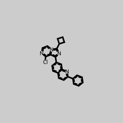 Clc1nccn2c(C3CCC3)nc(-c3ccc4ccc(-c5ccccc5)nc4c3)c12